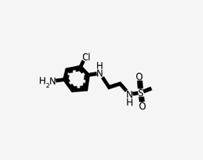 CS(=O)(=O)NCCNc1ccc(N)cc1Cl